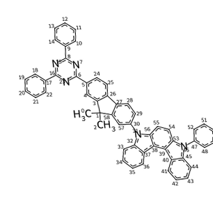 CC1(C)c2cc(-c3nc(-c4ccccc4)nc(-c4ccccc4)n3)ccc2-c2ccc(-n3c4ccccc4c4c5c6ccccc6n(-c6ccccc6)c5ccc43)cc21